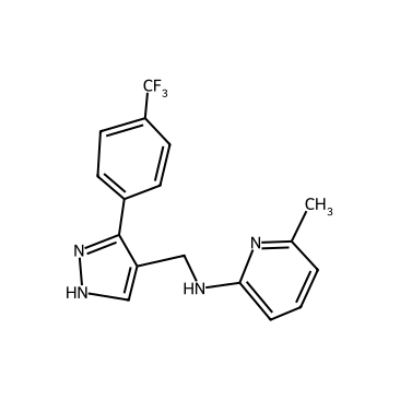 Cc1cccc(NCc2c[nH]nc2-c2ccc(C(F)(F)F)cc2)n1